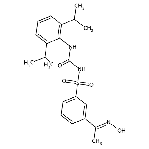 CC(=NO)c1cccc(S(=O)(=O)NC(=O)Nc2c(C(C)C)cccc2C(C)C)c1